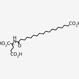 O=C(O)CCCCCCCCCCCCCCCCC(=O)N[C@@H](CCC(=O)O)C(=O)O